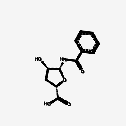 O=C(N[C@@H]1O[C@H](C(=O)O)C[C@H]1O)c1ccccc1